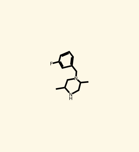 CC1CN(Cc2cccc(F)c2)C(C)CN1